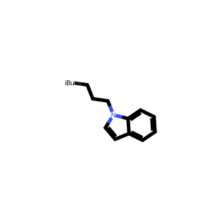 CCC(C)CCCn1ccc2ccccc21